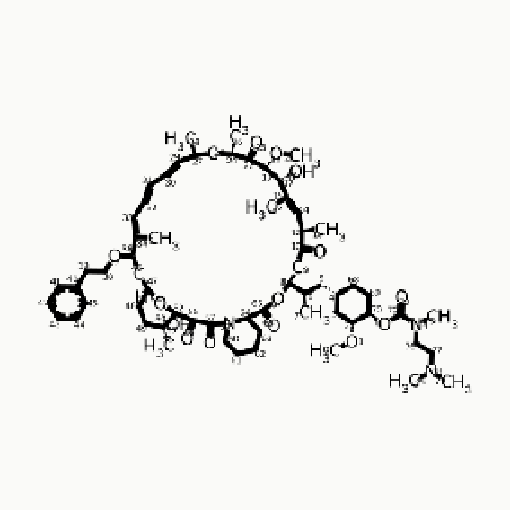 CO[C@@H]1C[C@H](C[C@@H](C)[C@@H]2CC(=O)[C@H](C)/C=C(\C)[C@@H](O)[C@@H](OC)C(=O)[C@H](C)C[C@H](C)/C=C/C=C/C=C(\C)C(OCCc3ccccc3)C[C@@H]3CC[C@@H](C)[C@@](O)(O3)C(=O)C(=O)N3CCCCC3C(=O)O2)CC[C@H]1OC(=O)N(C)CCN(C)C